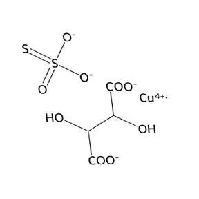 O=C([O-])C(O)C(O)C(=O)[O-].O=S([O-])([O-])=S.[Cu+4]